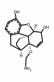 NCO[C@@]12C=CC(O)[C@@H]3Oc4c(O)ccc5c4[C@@]31CCC[C@@H]2C5